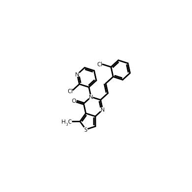 Cc1scc2nc(/C=C/c3ccccc3Cl)n(-c3cccnc3Cl)c(=O)c12